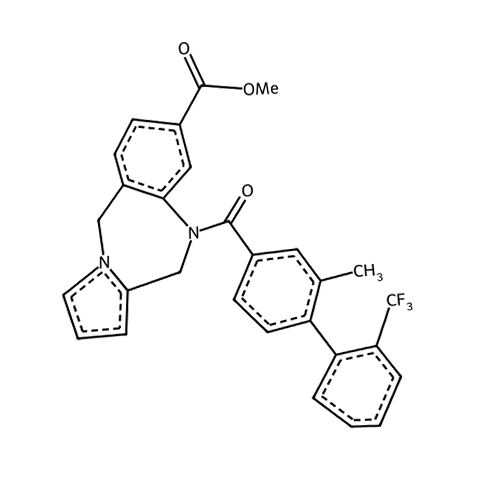 COC(=O)c1ccc2c(c1)N(C(=O)c1ccc(-c3ccccc3C(F)(F)F)c(C)c1)Cc1cccn1C2